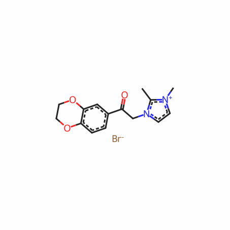 Cc1n(CC(=O)c2ccc3c(c2)OCCO3)cc[n+]1C.[Br-]